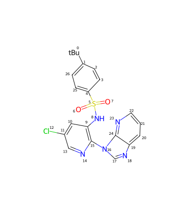 CC(C)(C)c1ccc(S(=O)(=O)Nc2cc(Cl)cnc2-n2cnc3cccnc32)cc1